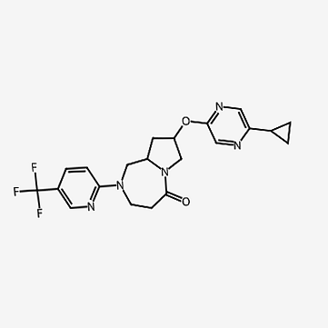 O=C1CCN(c2ccc(C(F)(F)F)cn2)CC2CC(Oc3cnc(C4CC4)cn3)CN12